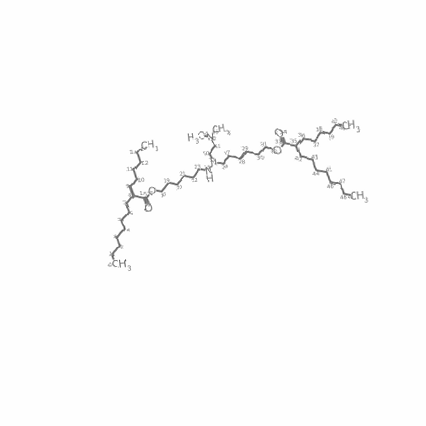 CCCCCCCCC(CCCCCC)C(=O)OCCCCCCNN(CCCCCCOC(=O)C(CCCCCC)CCCCCCCC)CCN(C)C